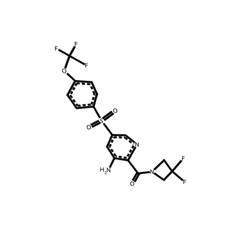 Nc1cc(S(=O)(=O)c2ccc(OC(F)(F)F)cc2)cnc1C(=O)N1CC(F)(F)C1